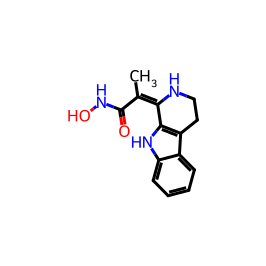 CC(C(=O)NO)=C1NCCc2c1[nH]c1ccccc21